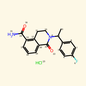 CC(c1ccc(F)cc1)N1CCc2c(C(N)=O)cccc2C1=O.Cl